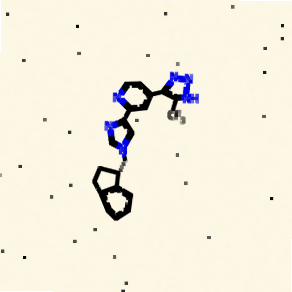 FC(F)(F)c1[nH]nnc1-c1ccnc(-c2cn(C[C@H]3CCc4ccccc43)cn2)c1